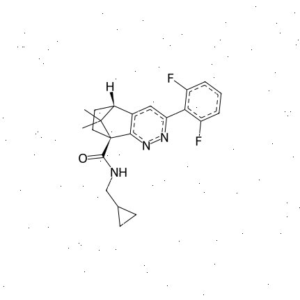 CC1(C)[C@@H]2CC[C@@]1(C(=O)NCC1CC1)c1nnc(-c3c(F)cccc3F)cc12